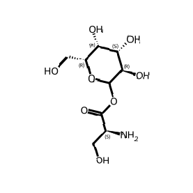 N[C@@H](CO)C(=O)OC1O[C@H](CO)[C@H](O)[C@H](O)[C@H]1O